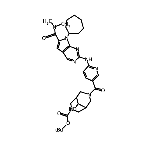 CN(C)C(=O)c1cc2cnc(Nc3ccc(C(=O)N4CC5CN(C(=O)OC(C)(C)C)CC(C4)C5O)cn3)nc2n1C1CCCCCC1